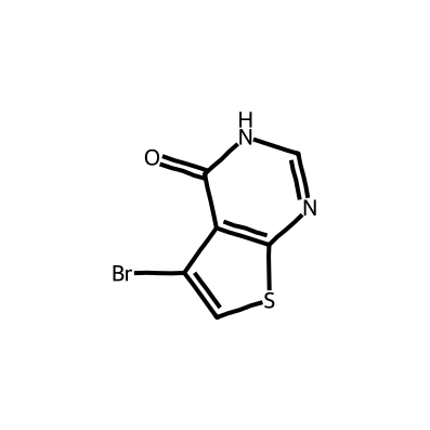 O=c1[nH]cnc2scc(Br)c12